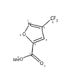 COC(=O)c1cc(C(F)(F)F)no1